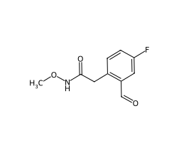 CONC(=O)Cc1ccc(F)cc1C=O